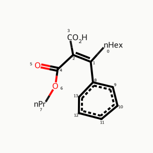 CCCCCCC(=C(C(=O)O)C(=O)OCCC)c1ccccc1